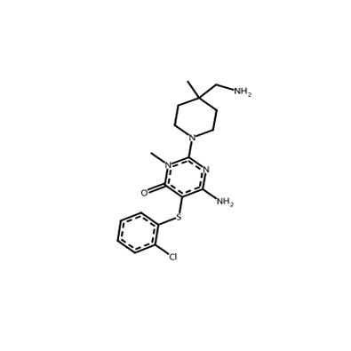 Cn1c(N2CCC(C)(CN)CC2)nc(N)c(Sc2ccccc2Cl)c1=O